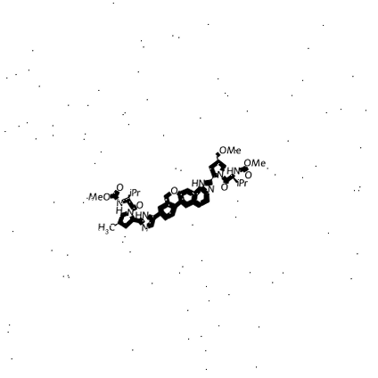 COC[C@H]1C[C@@H](c2nc3ccc4cc5c(cc4c3[nH]2)OCc2cc(-c3cnc(C4C[C@H](C)CN4C(=O)[C@@H](NC(=O)OC)C(C)C)[nH]3)ccc2-5)N(C(=O)[C@@H](NC(=O)OC)C(C)C)C1